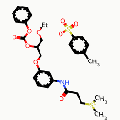 CCOCC(COc1cccc(NC(=O)CC[S+](C)C)c1)OC(=O)Oc1ccccc1.Cc1ccc(S(=O)(=O)[O-])cc1